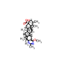 COc1nc(C)nc2c1C[C@]1(C)[C@H]3CC=C4[C@@H]5[C@@H](C)[C@H](C)CC[C@]5(C(=O)O)CC[C@@]4(C)[C@]3(C)CC[C@H]1C2(C)C